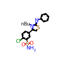 CCCCn1c(-c2ccc(Cl)c(S(N)(=O)=O)c2)csc1=Nc1ccccc1